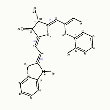 CC=C(/C=C1\S/C(=C\C=C2/Sc3ccccc3N2C)C(=O)[C@@H]1CC)Sc1ccccc1C